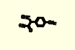 CC(=O)Oc1ccc(C(C=O)C([NH])=O)cc1